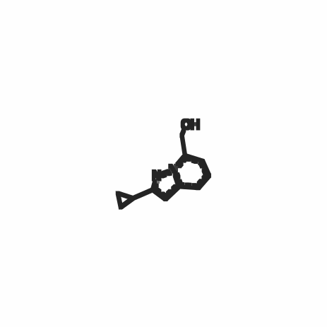 OCc1cccc2cc(C3CC3)nn12